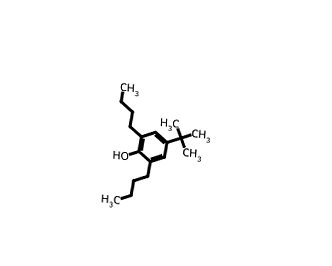 CCCCc1cc(C(C)(C)C)cc(CCCC)c1O